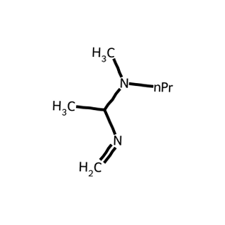 C=NC(C)N(C)CCC